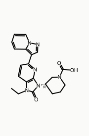 CCn1c(=O)n([C@H]2CCCN(C(=O)O)C2)c2nc(-c3cnn4ccccc34)ccc21